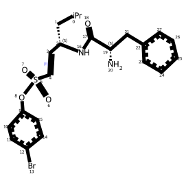 CC(C)C[C@@H](/C=C/S(=O)(=O)Oc1ccc(Br)cc1)NC(=O)[C@@H](N)Cc1ccccc1